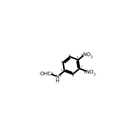 O=[C]Nc1ccc([N+](=O)[O-])c([N+](=O)[O-])c1